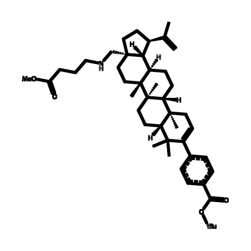 C=C(C)[C@@H]1CC[C@]2(CNCCCC(=O)OC)CC[C@]3(C)[C@H](CC[C@@H]4[C@@]5(C)CC=C(c6ccc(C(=O)OC(C)(C)C)cc6)C(C)(C)[C@@H]5CC[C@]43C)[C@@H]12